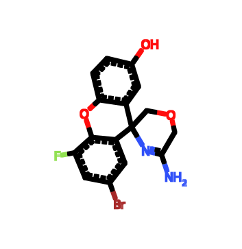 NC1=NC2(COC1)c1cc(O)ccc1Oc1c(F)cc(Br)cc12